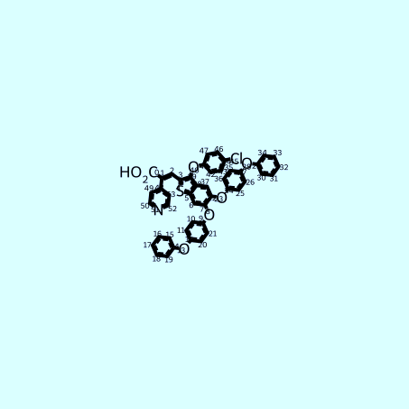 O=C(O)/C(=C/c1sc2cc(Oc3ccc(Oc4ccccc4)cc3)c(Oc3ccc(Oc4ccccc4)cc3)cc2c1Oc1ccc(Cl)cc1)c1ccncc1